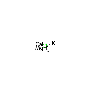 [CaH2].[Cl][K].[MgH2]